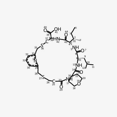 CC[C@H](C)[C@@H]1NC(=O)[C@H](CC(C)C)NC(=O)C2(CCOCC2)NC(=O)CCSCc2cccc(n2)CSC[C@@H](C(=O)O)NC1=O